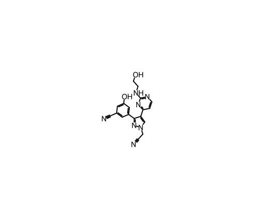 N#CCn1cc(-c2ccnc(NCCO)n2)c(-c2cc(O)cc(C#N)c2)n1